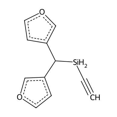 C#C[SiH2]C(c1ccoc1)c1ccoc1